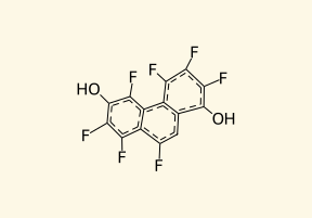 Oc1c(F)c(F)c2c(F)cc3c(O)c(F)c(F)c(F)c3c2c1F